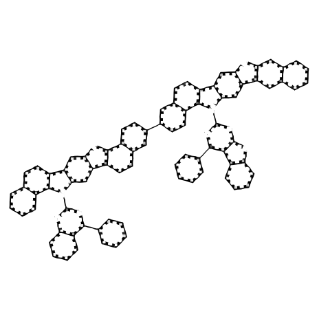 c1ccc(-c2nc(-n3c4cc5c(cc4c4ccc6ccccc6c43)sc3c4ccc(-c6ccc7c(ccc8c9cc%10oc%11cc%12ccccc%12cc%11c%10cc9n(-c9nc(-c%10ccccc%10)c%10c(n9)oc9ccccc9%10)c78)c6)cc4ccc53)nc3ccccc23)cc1